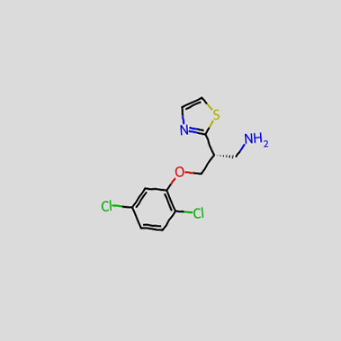 NC[C@H](COc1cc(Cl)ccc1Cl)c1nccs1